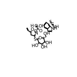 C=C[C@H](O)CC(=NOS(=O)(=O)O)S[C@@H]1O[C@H](CO)[C@@H](O)[C@H](O)[C@H]1O.N=C=S.c1ccc2[nH]ccc2c1